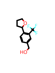 OCc1ccc(C2CCCO2)c(C(F)(F)F)c1